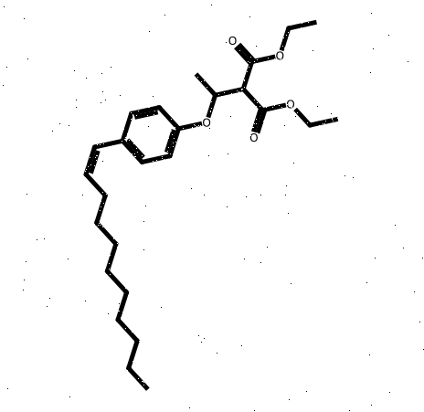 CCCCCCCCC/C=C\c1ccc(OC(C)C(C(=O)OCC)C(=O)OCC)cc1